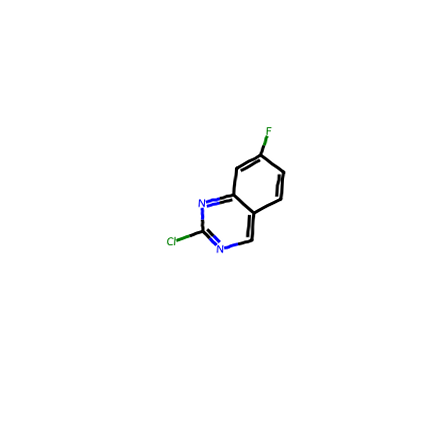 Fc1ccc2cnc(Cl)nc2c1